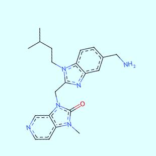 CC(C)CCn1c(Cn2c(=O)n(C)c3ccncc32)nc2cc(CN)ccc21